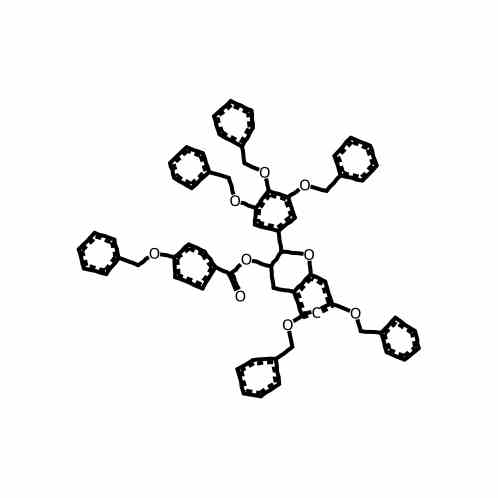 O=C(OC1Cc2c(OCc3ccccc3)cc(OCc3ccccc3)cc2OC1c1cc(OCc2ccccc2)c(OCc2ccccc2)c(OCc2ccccc2)c1)c1ccc(OCc2ccccc2)cc1